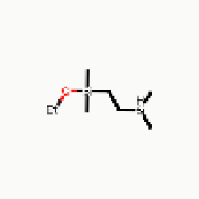 CCO[Si](C)(C)CC[SiH](C)C